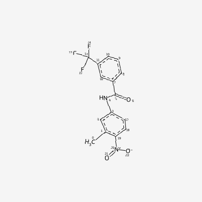 Cc1cc(NC(=O)c2cccc(C(F)(F)F)c2)ccc1[N+](=O)[O-]